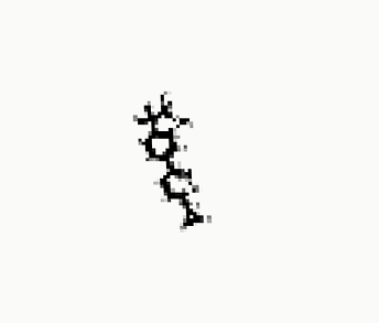 CN1C(=O)C(C)(C)c2ccc(-c3ccc(C4CC4)nn3)cc21